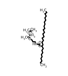 C=CCCCCCCCC(CCCCCCCCCCCCCCCCCC)OC(=O)NCCCON(C)COC(C)(C)C